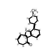 CN1CCC(=C2CC=Cc3c2sc2c3C(=O)CCC=C2)CC1